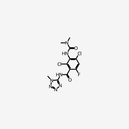 CN(C)C(=O)Nc1c(Cl)cc(F)c(C(=O)Nc2nnnn2C)c1Cl